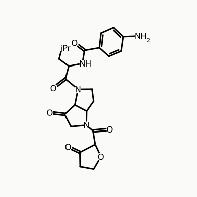 CC(C)CC(NC(=O)c1ccc(N)cc1)C(=O)N1CCC2C1C(=O)CN2C(=O)C1OCCC1=O